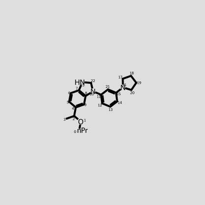 CCCOC(C)c1ccc2c(c1)N(c1cccc(N3CCCC3)c1)CN2